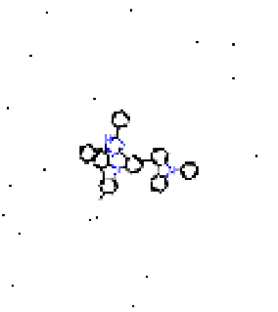 Cc1ccc2c(c1)c1ccccc1n2-c1ccc(-c2cccc3c2c2ccccc2n3-c2ccccc2)cc1-c1nc(-c2ccccc2)nc(-c2ccccc2)n1